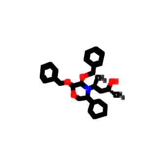 C[C@@H](O)C[C@H](C)N1C(C2CCCCC2)COC(OCc2ccccc2)[C@H]1OCc1ccccc1